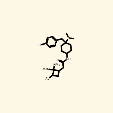 CNC1(NC)C(CC(=O)NC2CCC(Cc3ccc(Cl)cc3)(N(C)C)CC2)CC1C(C)=O